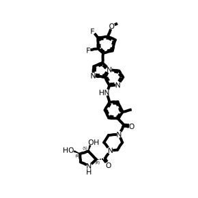 COc1ccc(-c2cnc3c(Nc4ccc(C(=O)N5CCN(C(=O)[C@@H]6NC[C@@H](O)[C@H]6O)CC5)c(C)c4)nccn23)c(F)c1F